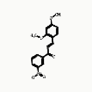 COc1ccc(/C=C/C(=O)c2cccc([N+](=O)[O-])c2)c(OC)c1